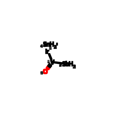 [O]=[V]([SbH2])[Ir].[SnH2]